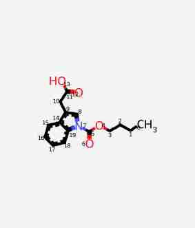 CCCCOC(=O)n1cc(CC(=O)O)c2ccccc21